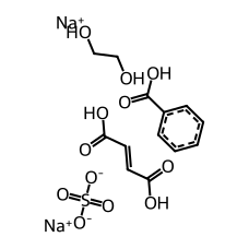 O=C(O)/C=C/C(=O)O.O=C(O)c1ccccc1.O=S(=O)([O-])[O-].OCCO.[Na+].[Na+]